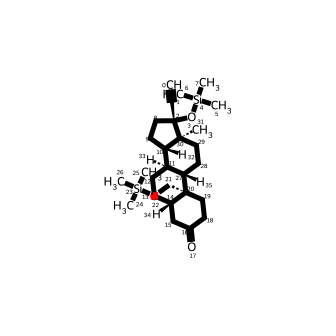 C#C[C@]1(O[Si](C)(C)C)CC[C@H]2[C@@H]3CC[C@H]4CC(=O)CC[C@]4(CO[Si](C)(C)C)[C@H]3CC[C@@]21C